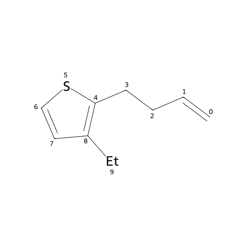 C=CCCc1sccc1CC